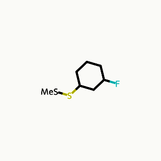 CSSC1CCCC(F)C1